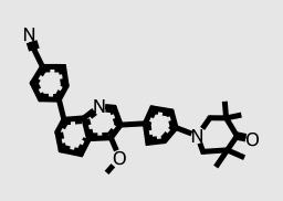 COc1c(-c2ccc(N3CC(C)(C)C(=O)C(C)(C)C3)cc2)cnc2c(-c3ccc(C#N)cc3)cccc12